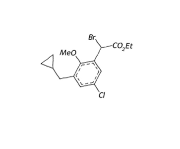 CCOC(=O)C(Br)c1cc(Cl)cc(CC2CC2)c1OC